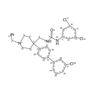 CC(C)CN1CCC(CNC(=O)Nc2cc(Cl)cc(Cl)c2)(c2ccc(-c3cccc(Cl)c3)cc2)CC1